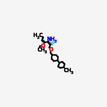 C=C/C=C(OCC)\C(N)=C(\F)COCC1CCC(C2CCC(C)CC2)CC1